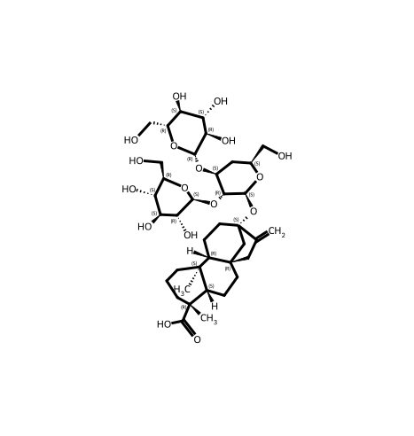 C=C1C[C@@]23CC[C@H]4[C@@](C)(CCC[C@@]4(C)C(=O)O)[C@@H]2CC[C@]1(O[C@@H]1O[C@H](CO)C[C@H](O[C@@H]2O[C@H](CO)[C@@H](O)[C@H](O)[C@H]2O)[C@H]1O[C@@H]1O[C@H](CO)[C@@H](O)[C@H](O)[C@H]1O)C3